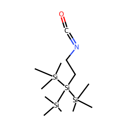 C[Si](C)(C)[Si](CCN=C=O)([Si](C)(C)C)[Si](C)(C)C